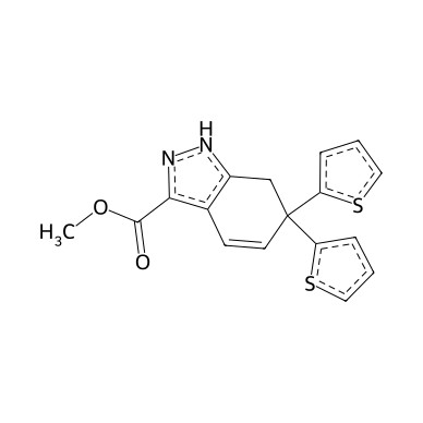 COC(=O)c1n[nH]c2c1C=CC(c1cccs1)(c1cccs1)C2